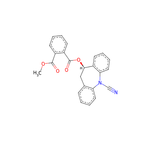 COC(=O)c1ccccc1C(=O)O[C@@H]1Cc2ccccc2N(C#N)c2ccccc21